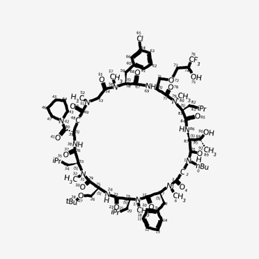 CCCCN1CC(=O)N(C)[C@@H](Cc2ccccc2)C(=O)N(C)[C@@H](CC(C)C)C(=O)N[C@@H](COC(C)(C)C)C(=O)N(C)[C@@H](CC(C)C)C(=O)N[C@H](C(=O)N2CCCCC2)CC(=O)N(C)CC(=O)N(C)[C@@H](Cc2cccc(Cl)c2)C(=O)NC(COCC(O)C(F)(F)F)C(=O)N(C)[C@@H](CC(C)C)C(=O)N[C@@H]([C@@H](C)O)C1O